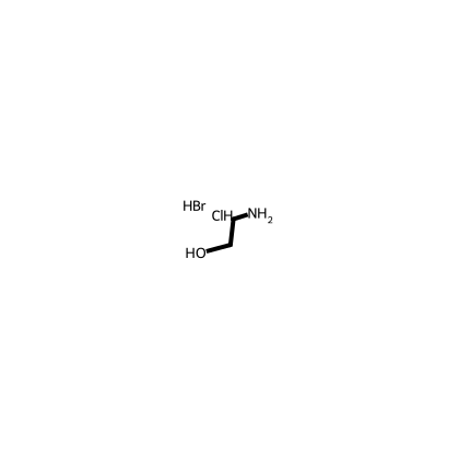 Br.Cl.NCCO